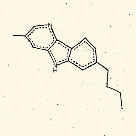 Cc1cnc2c(c1)[nH]c1cc(CCCF)ccc12